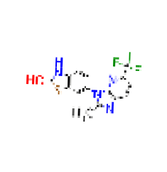 Cc1nc2ccc(C(F)(F)F)nc2n1-c1ccc2c(c1)SC(O)N2